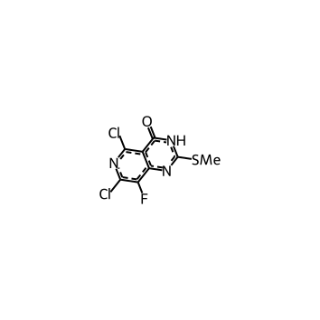 CSc1nc2c(F)c(Cl)nc(Cl)c2c(=O)[nH]1